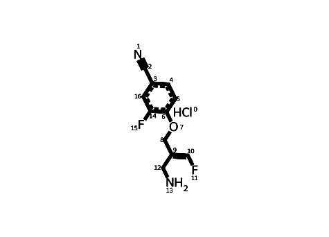 Cl.N#Cc1ccc(OCC(=CF)CN)c(F)c1